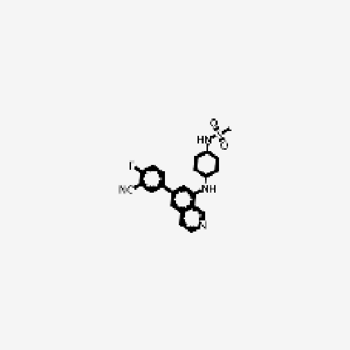 CS(=O)(=O)N[C@H]1CC[C@H](Nc2cc(-c3ccc(F)c(C#N)c3)cc3ccncc23)CC1